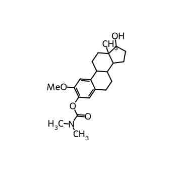 COc1cc2c(cc1OC(=O)N(C)C)CCC1C2CCC2(C)C(O)CCC12